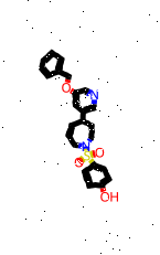 O=S(=O)(c1ccc(O)cc1)N1CC=CC(c2cncc(OCc3ccccc3)c2)CC1